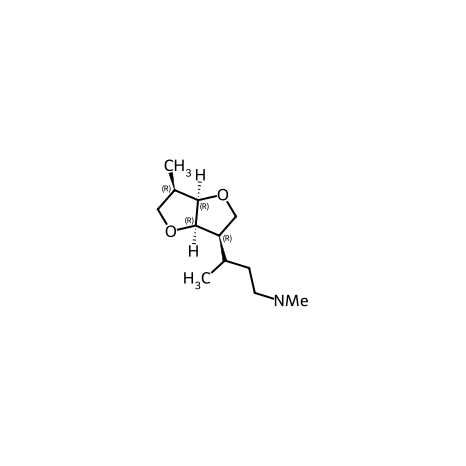 CNCCC(C)[C@@H]1CO[C@H]2[C@@H]1OC[C@H]2C